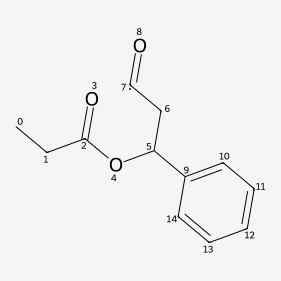 CCC(=O)OC(C[C]=O)c1ccccc1